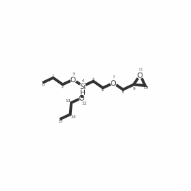 CCCO[SiH](CCOCC1CO1)OCCC